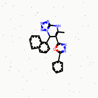 CC1=C(c2nnc(-c3ccccc3)o2)C(c2cccc3ccccc23)n2nnnc2N1